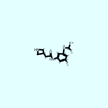 O=C(CC1CNC1)Nc1cc(F)cc(OC(F)F)c1